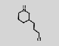 ClCCCC1CCCNC1